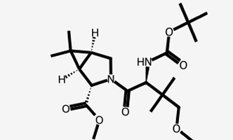 COCC(C)(C)[C@H](NC(=O)OC(C)(C)C)C(=O)N1C[C@H]2[C@@H]([C@H]1C(=O)OC)C2(C)C